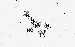 C[C@@H]1CN([C@H]2CC[C@H](n3cc(Nc4ncc(-c5ccc(C#N)c(O[C@@H](C)Cn6cnnn6)c5)cn4)c(OCCO)n3)CC2)C[C@H](C)O1